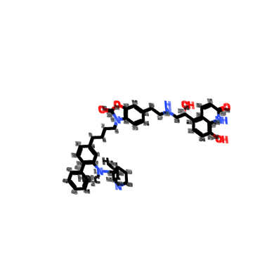 O=C(O)N(c1cc(CCCCn2c(=O)oc3cc(CCNC[C@H](O)c4ccc(O)c5[nH]c(=O)ccc45)ccc32)ccc1-c1ccccc1)[C@H]1CN2CCC1CC2